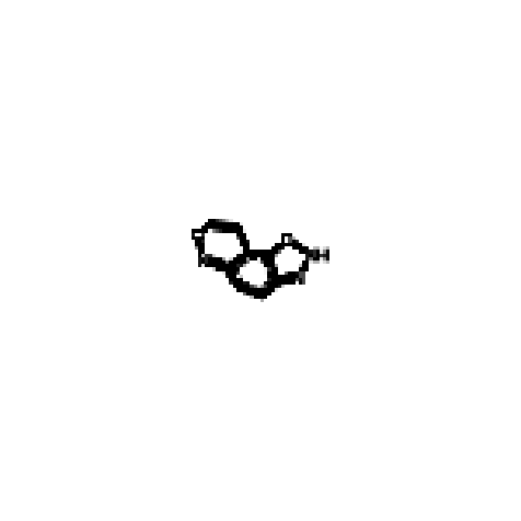 C1=Cc2c3c(ccc2=NO1)=NNO3